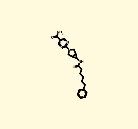 NC(=O)c1cnc(N2CC3C(C2)C3NC(=O)CCCCCc2ccccc2)nc1